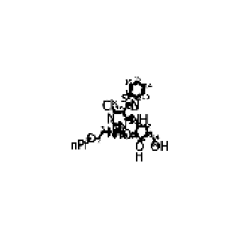 CCCOCCNc1nc(Cl)c(-c2nc3ccccc3s2)c(N[C@@H]2C[C@H](CO)[C@@H](O)[C@H]2O)n1